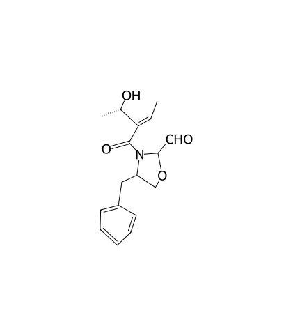 C/C=C(/C(=O)N1C(Cc2ccccc2)COC1C=O)[C@H](C)O